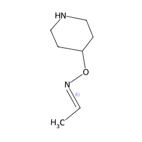 C/C=N/OC1CCNCC1